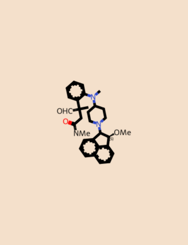 CNC(=O)CC(C)(C=O)c1ccccc1N(C)C1CCN(C2c3cccc4cccc(c34)[C@@H]2OC)CC1